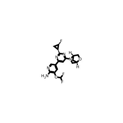 Nc1ncc(-c2cc(N3C[C@@H]4C[C@H]3CO4)nc([C@H]3C[C@H]3F)n2)cc1OC(F)F